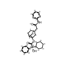 O=C(C[N+]12CCC(CC1)C(OC(=O)[C@](O)(c1ccccc1)C1CCCCC1)C2)Nc1ncccn1